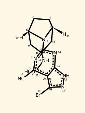 N#Cc1nc(N2[C@@H]3CC[C@H]2CC(NC(=O)O)C3)nc2[nH]nc(Br)c12